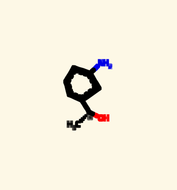 C[C@@H](O)c1cccc(N)c1